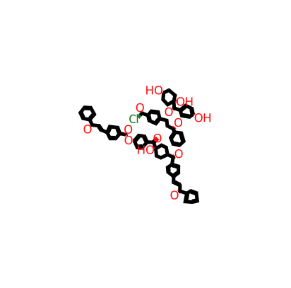 O=C(/C=C/c1ccc(C(=O)Oc2ccc(C(=O)C3(O)CCC(C(=O)c4ccc(/C=C/C(=O)c5ccccc5)cc4)CC3)cc2)cc1)c1ccccc1.O=C(Cl)c1ccc(CCC(=O)c2ccccc2)cc1.O=C(c1ccc(O)cc1)C1(O)CCC(O)CC1